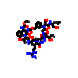 CCC[C@H](NC(=O)[C@@H](NC(=O)[C@@H](NC(=O)OCc1ccccc1)[C@H](NC(=O)OC(C)(C)C)c1ccccc1)[C@H](O)C(C)C)C(=O)N[C@H](CCCNC(=N)N)C(=O)N[C@H](C(=O)N[C@H](C(=O)NCC(=O)N[C@@H](CO)C(=O)N[C@@H](CO)C(=O)O)[C@H](C)O)[C@@H](C)CC